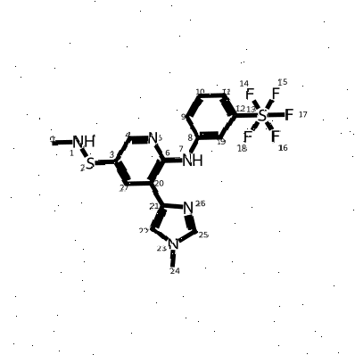 CNSc1cnc(Nc2cccc(S(F)(F)(F)(F)F)c2)c(-c2cn(C)cn2)c1